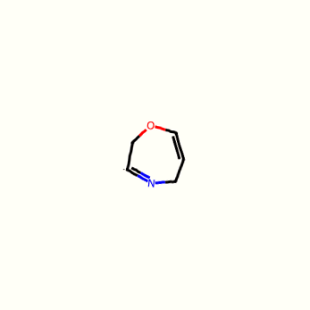 [C]1=NCC=COC1